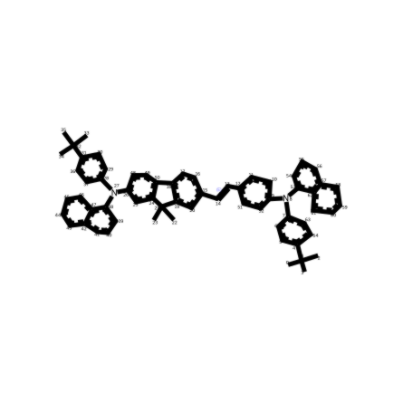 CC(C)(C)c1ccc(N(c2ccc(/C=C/c3ccc4c(c3)C(C)(C)c3cc(N(c5ccc(C(C)(C)C)cc5)c5cccc6ccccc56)ccc3-4)cc2)c2cccc3ccccc23)cc1